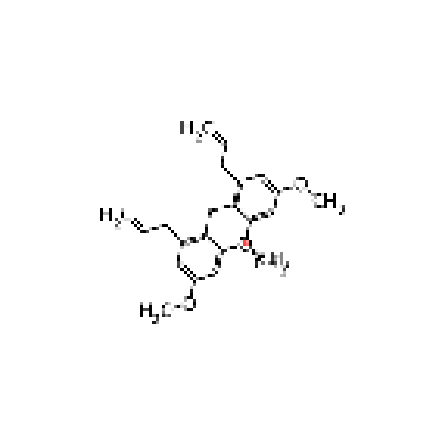 C=CCc1cc(OC)cc(OC)c1Cc1c(CC=C)cc(OC)cc1OC